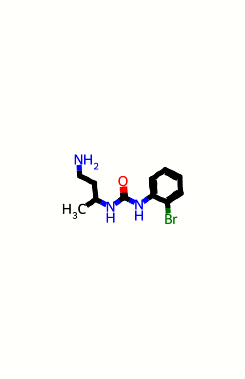 CC(CCN)NC(=O)Nc1ccccc1Br